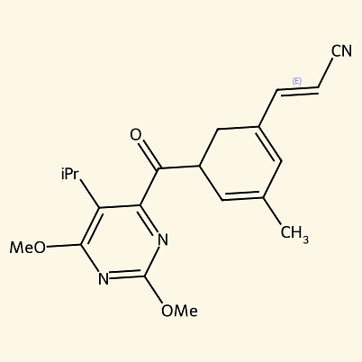 COc1nc(OC)c(C(C)C)c(C(=O)C2C=C(C)C=C(/C=C/C#N)C2)n1